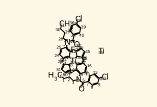 CCCCN(C(=O)c1ccc(Cl)cc1)c1ccc(F)[c]([Ti]([c]2c(F)ccc(N(CCCC)C(=O)c3ccc(Cl)cc3)c2F)([CH]2C=CC=C2)[CH]2C=CC=C2)c1F.[Ti]